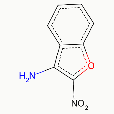 Nc1c([N+](=O)[O-])oc2ccccc12